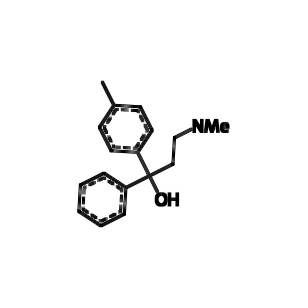 CNCCC(O)(c1ccccc1)c1ccc(C)cc1